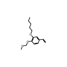 C=Cc1ccc(OCOC)c(OCCCCC)c1